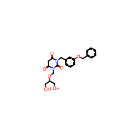 O=C1CC(=O)N(Cc2cccc(OCc3ccccc3)c2)C(=O)N1COC(CO)CO